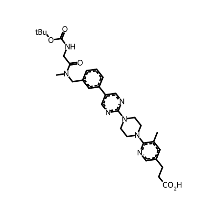 Cc1cc(CCC(=O)O)cnc1N1CCN(c2ncc(-c3cccc(CN(C)C(=O)CNC(=O)OC(C)(C)C)c3)cn2)CC1